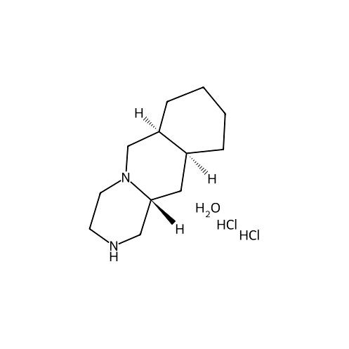 C1CC[C@H]2C[C@@H]3CNCCN3C[C@H]2C1.Cl.Cl.O